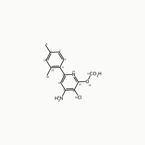 Cc1ccc(-c2cc(N)c(Cl)c(OC(=O)O)n2)c(C)c1